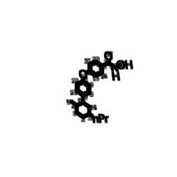 CCCC1CCC(C)C(c2ccc(Oc3ccc(C(=O)NO)cc3)cc2)C1